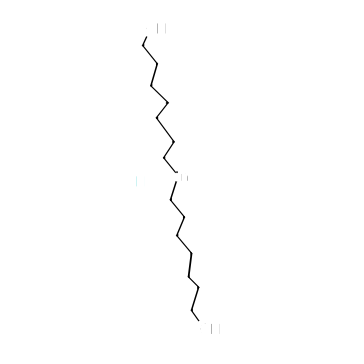 CCCCCCC[CH2][In][CH2]CCCCCCC.F